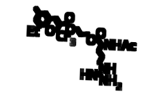 CCc1cc(C)cc2c1O[C@H](C(F)(F)F)C(C(=O)OCCCOC(=O)[C@H](CCCNC(=N)N)NC(C)=O)=C2